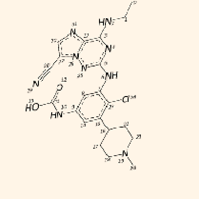 CCNc1nc(Nc2cc(NC(=O)O)cc(C3CCN(C)CC3)c2Cl)nn2c(C#N)cnc12